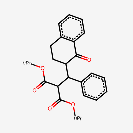 CCCOC(=O)C(C(=O)OCCC)C(c1ccccc1)C1CCc2ccccc2C1=O